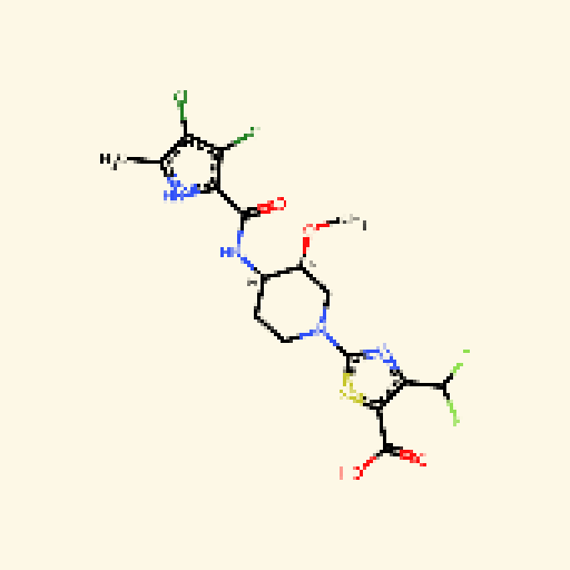 CO[C@H]1CN(c2nc(C(F)F)c(C(=O)O)s2)CC[C@H]1NC(=O)c1[nH]c(C)c(Cl)c1Cl